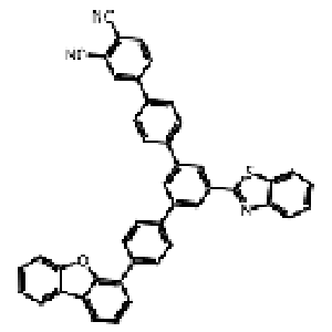 N#Cc1ccc(-c2ccc(-c3cc(-c4ccc(-c5cccc6c5oc5ccccc56)cc4)cc(-c4nc5ccccc5s4)c3)cc2)cc1C#N